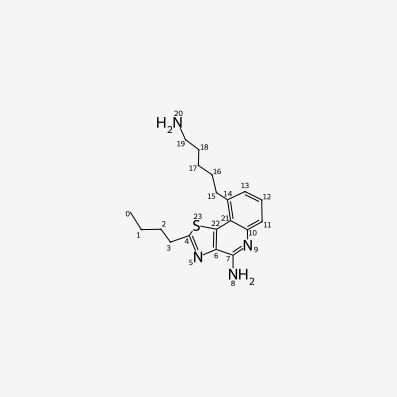 CCCCc1nc2c(N)nc3cccc(CCCCCN)c3c2s1